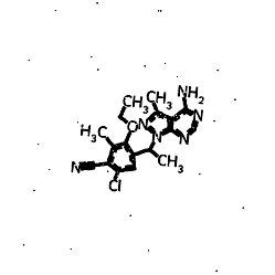 CCOc1c(C(C)n2nc(C)c3c(N)ncnc32)cc(Cl)c(C#N)c1C